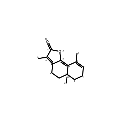 CC1=CCC[C@]2(C)CCC3=C(C)C(=O)OC3=C12